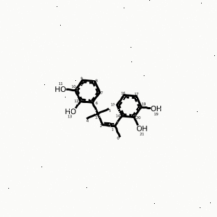 CC(=CC(C)(C)c1cccc(O)c1O)c1cccc(O)c1O